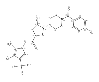 Cc1c(Cl)c(C(F)(F)F)nn1CC(=O)N1C[C@@H](O)[C@H](N2CCN(C(=O)c3ccc(Cl)cc3)CC2)C1